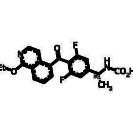 CCOc1nccc2c(C(=O)c3c(F)cc([C@@H](C)NC(=O)O)cc3F)cccc12